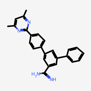 Cc1cc(C)nc(-c2ccc(-c3cc(C(=N)N)cc(-c4ccccc4)c3)cc2)n1